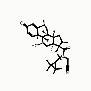 C[C@@H]1C[C@H]2[C@@H]3C[C@H](F)C4=CC(=O)C=C[C@]4(C)[C@@]3(F)[C@H](O)C[C@]2(C)[C@@]1(OC(=O)C1C(C)(C)C1(C)C)C(=O)OCC#N